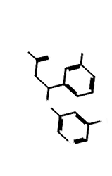 O=C(O)CC(Oc1cncc(Cl)c1)c1cccc(Cl)c1